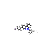 Cc1cccc(Nc2ccccc2-c2ccc(-c3ccc(I)cc3)cc2)c1